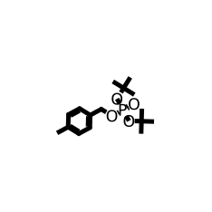 Cc1ccc(COP(=O)(OC(C)(C)C)OC(C)(C)C)cc1